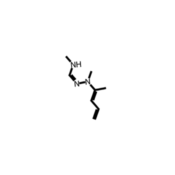 C=C/C=C(\C)N(C)/N=C\NC